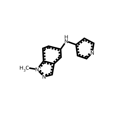 Cn1ncc2cc(Nc3ccncc3)ccc21